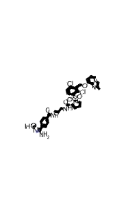 Cc1cn2cccc(OCc3c(Cl)ccc(S(=O)(=O)N4CCC[C@H]4C(=O)NCCCNC(=O)c4ccc(/C(N)=N\O)cc4)c3Cl)c2n1